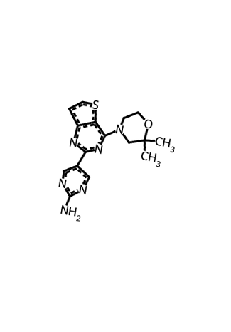 CC1(C)CN(c2nc(-c3cnc(N)nc3)nc3ccsc23)CCO1